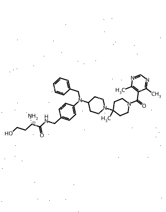 Cc1ncnc(C)c1C(=O)N1CCC(C)(N2CCC(N(Cc3ccccc3)c3ccc(CNC(=O)[C@@H](N)CCO)cc3)CC2)CC1